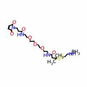 BNCCSSC(C)(C)CC(=O)NCCOCCOCCOCCNC(=O)CCN1C(=O)C=CC1=O